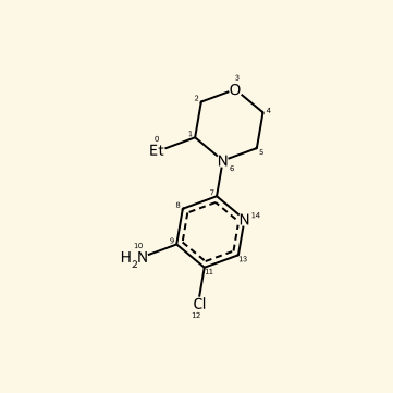 CCC1COCCN1c1cc(N)c(Cl)cn1